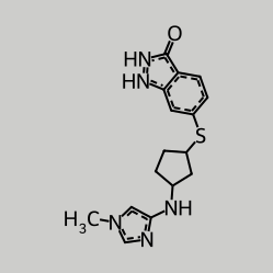 Cn1cnc(NC2CCC(Sc3ccc4c(=O)[nH][nH]c4c3)C2)c1